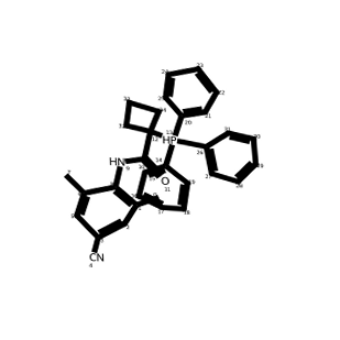 Cc1cc(C#N)cc(C)c1NC(=O)C1([PH](c2ccccc2)(c2ccccc2)c2ccccc2)CCC1